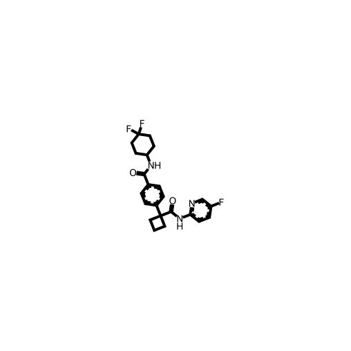 O=C(NC1CCC(F)(F)CC1)c1ccc(C2(C(=O)Nc3ccc(F)cn3)CCC2)cc1